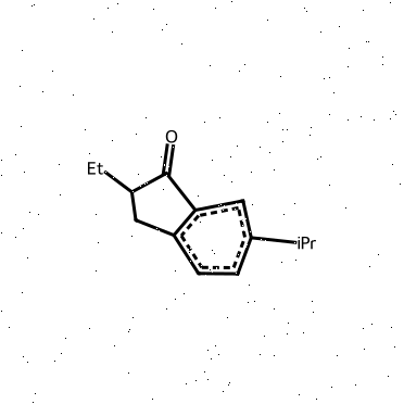 CCC1Cc2ccc(C(C)C)cc2C1=O